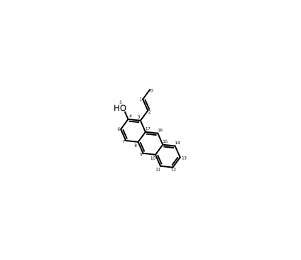 CC=Cc1c(O)ccc2cc3ccccc3cc12